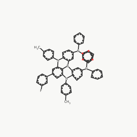 Cc1ccc(N2c3ccc(N(c4ccccc4)c4ccccc4)cc3B3c4cc(N(c5ccccc5)c5ccccc5)ccc4N(c4ccc(C)cc4)c4cc(-c5cccc(F)c5)cc2c43)cc1